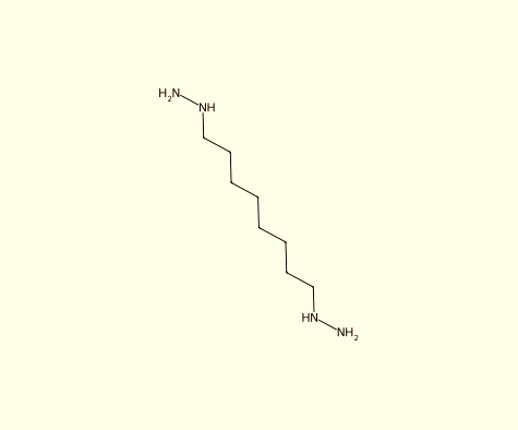 NNCCCCCCCCNN